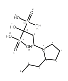 CCCC1CCCN1CCC(O)(P(=O)(O)O)P(=O)(O)O